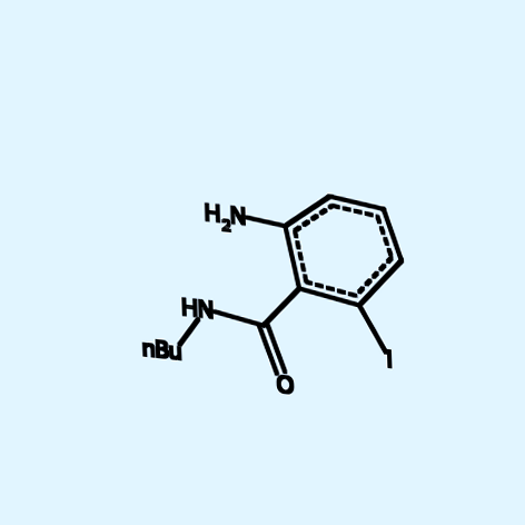 CCCCNC(=O)c1c(N)cccc1I